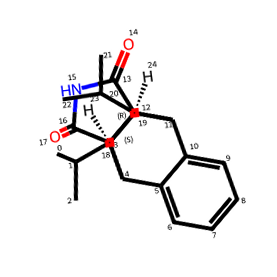 CC(C)[C@@H]1C2c3ccccc3C(C3C(=O)NC(=O)C32)[C@@H]1C(C)C